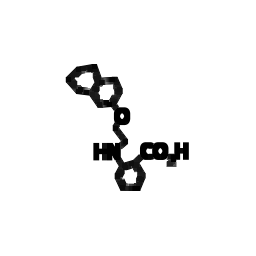 O=C(O)c1ccccc1NCCOc1ccc2ccccc2c1